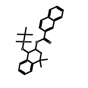 CC1(C)CC(OC(=O)c2ccc3ccccc3c2)C(O[Si](C)(C)C(C)(C)C)c2ccccc21